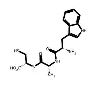 C[C@@H](NC(=O)[C@@H](N)Cc1c[nH]c2ccccc12)C(=O)N[C@@H](CS)C(=O)O